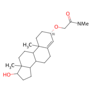 CNC(=O)CO[C@@H]1C=C2CCC3C(CCC4(C)C(O)CCC34)C2(C)CC1